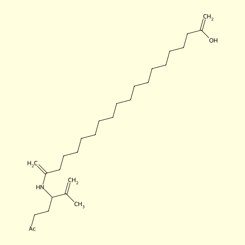 C=C(O)CCCCCCCCCCCCCCCCC(=C)NC(CCC(C)=O)C(=C)C